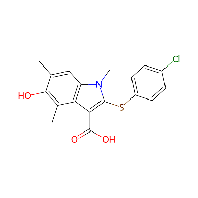 Cc1cc2c(c(C)c1O)c(C(=O)O)c(Sc1ccc(Cl)cc1)n2C